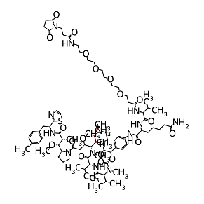 CC[C@H](C)[C@@H]([C@@H](CC(=O)N1CCC[C@H]1[C@H](OC)[C@@H](C)C(=O)N[C@@H](Cc1ccc(C)cc1)c1nccs1)OC)N(C)C(=O)[C@@H](NC(=O)[C@H](C(C)C)N(C)C(=O)OC(C(=O)N1CCN(C)CC1)c1ccc(NC(=O)[C@H](CCCCC(N)=O)NC(=O)[C@@H](NC(=O)CCOCCOCCOCCOCCNC(=O)CCN2C(=O)CCC2=O)C(C)C)cc1)C(C)C